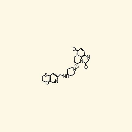 O=c1ccc2ncc(=O)n3c2n1CC[C@H]3CN1CCC(NCc2cc3c(cn2)OCCS3)CC1